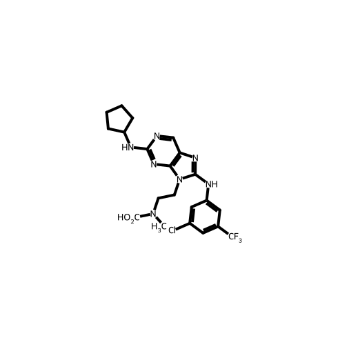 CN(CCn1c(Nc2cc(Cl)cc(C(F)(F)F)c2)nc2cnc(NC3CCCC3)nc21)C(=O)O